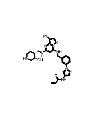 C=CC(=O)Nc1cnn(-c2cccc(CNc3cc(NC[C@H]4CCNC[C@@H]4O)nc4c(C(C)C)cnn34)c2)c1